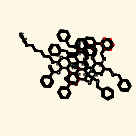 [N-]=[N+]=NCCCCCO[C@H]1OC(COC(=O)c2ccccc2)[C@@H](OCc2ccccc2)C(O[C@H]2OC(COCc3ccccc3)[C@@H]3C(OC3(OCc3ccccc3)[C@H]3OC(COCc4ccccc4)[C@@H](OCc4ccccc4)C(OCc4ccccc4)C3O[C@H]3OC(COCc4ccccc4)[C@@H](OCc4ccccc4)C(OCc4ccccc4)C3O)C2OC(=O)c2ccccc2)C1OC(=O)c1ccccc1